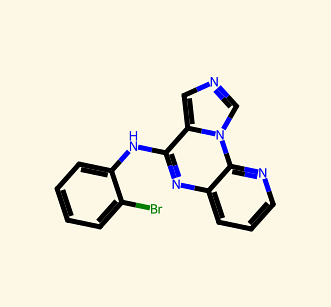 Brc1ccccc1Nc1nc2cccnc2n2cncc12